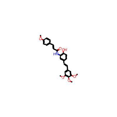 COc1ccc(/C=C/C(=O)Nc2cc(/C=C/c3cc(OC)c(OC)c(OC)c3)ccc2O)cc1